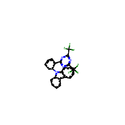 FC(F)(F)c1nc(-c2ccccc2-n2c3ccccc3c3ccccc32)nc(C(F)(F)F)n1